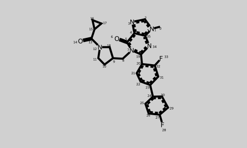 Cn1cnc2c(=O)n(CC3CCN(C(=O)C4CC4)C3)c(-c3ccc(-c4ccc(F)cc4)cc3F)nc21